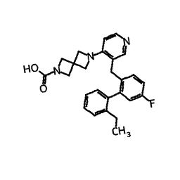 CCc1ccccc1-c1cc(F)ccc1Cc1cnccc1N1CC2(CN(C(=O)O)C2)C1